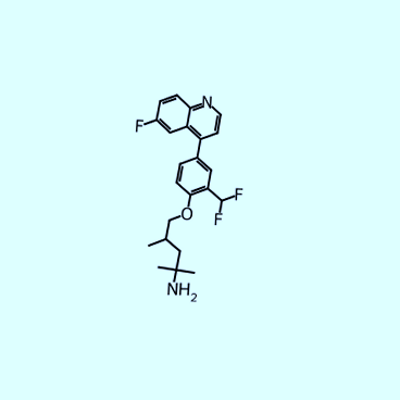 CC(COc1ccc(-c2ccnc3ccc(F)cc23)cc1C(F)F)CC(C)(C)N